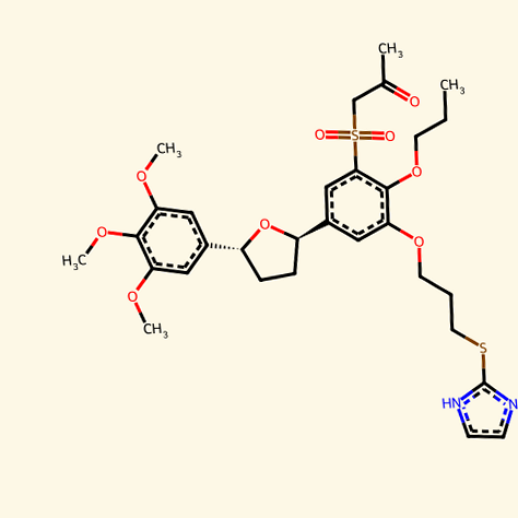 CCCOc1c(OCCCSc2ncc[nH]2)cc([C@H]2CC[C@H](c3cc(OC)c(OC)c(OC)c3)O2)cc1S(=O)(=O)CC(C)=O